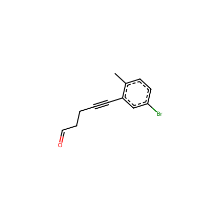 Cc1ccc(Br)cc1C#CCCC=O